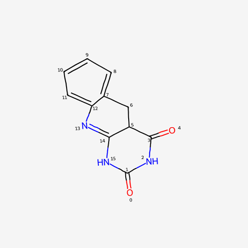 O=C1NC(=O)C2Cc3ccccc3N=C2N1